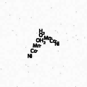 O.O.[Co].[Co].[Mn].[Mn].[Ni].[Ni]